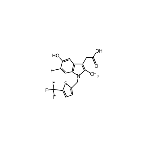 Cc1c(CC(=O)O)c2cc(O)c(F)cc2n1Cc1ccc(C(F)(F)F)s1